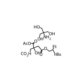 CCCCC(CC)COC(=O)CC(O)(CC(=O)O)C(=O)OC(C)=O.NC(CO)(CO)CO